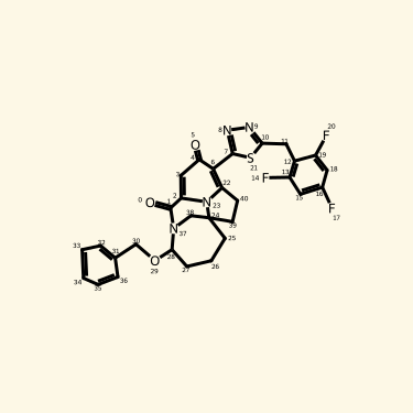 O=C1c2cc(=O)c(-c3nnc(Cc4c(F)cc(F)cc4F)s3)c3n2C2(CCCC(OCc4ccccc4)N1C2)CC3